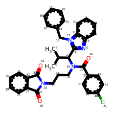 CC(C)C(c1nc2ccccc2n1Cc1ccccc1)N(CCCN1C(=O)c2ccccc2C1=O)C(=O)c1ccc(Cl)cc1